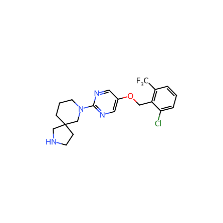 FC(F)(F)c1cccc(Cl)c1COc1cnc(N2CCCC3(CCNC3)C2)nc1